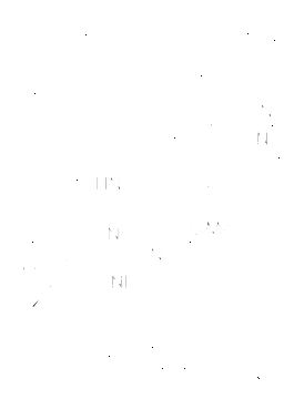 COc1nc(N[C@H]2C[C@@](C)(O)C2)nc2[nH]cc(-c3ccc4nnccc4c3)c12